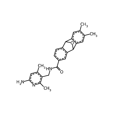 Cc1cc2c(cc1C)C1OC2c2ccc(C(=O)NCc3c(C)cc(N)nc3C)cc21